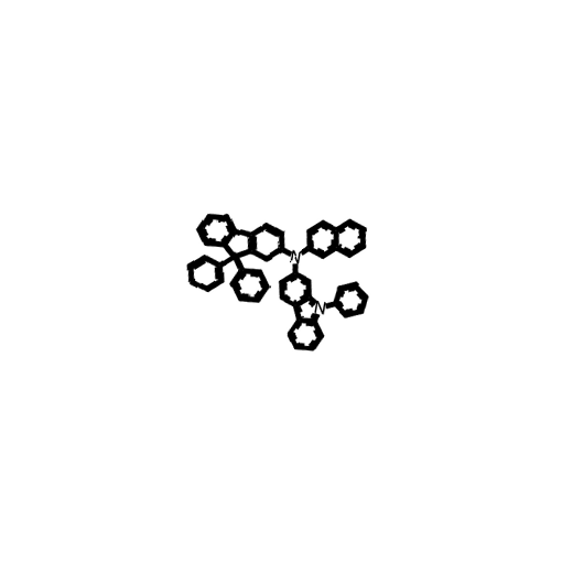 C1=CC(C2(c3ccccc3)C3=C(C=CC(N(c4ccc5ccccc5c4)c4ccc5c6ccccc6n(-c6ccccc6)c5c4)C3)c3ccccc32)=CCC1